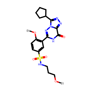 CCOCCCNS(=O)(=O)c1ccc(OCC)c(-c2nn3c(C4CCCC4)nnc3c(=O)[nH]2)c1